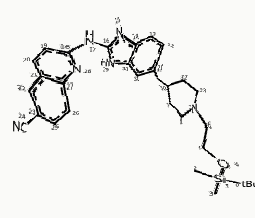 CC(C)(C)[Si](C)(C)OCCN1CCC(c2ccc3nc(Nc4ccc5cc(C#N)ccc5n4)[nH]c3c2)CC1